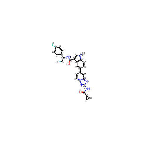 CCn1cc(C(=O)N[C@@H](CF)c2ccc(F)cc2)c2cc(-c3ccn4nc(NC(=O)C5CC5)nc4c3)ccc21